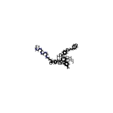 CC/C=C\C/C=C\C/C=C\C/C=C\C/C=C\CCCC(=O)N1CC[C@@H](NC(=O)C2=CN(C(=O)c3ccc(OCCCN4CCOCC4)cc3)CC(C)(C)c3c2[nH]c2cc(F)ccc32)C1